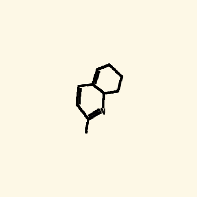 CC1=NC2CCCC=C2C=C1